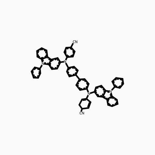 N#Cc1ccc(N(c2ccc(-c3ccc(N(C4=CCC(C#N)C=C4)c4ccc5c(c4)c4ccccc4n5-c4ccccc4)cc3)cc2)c2ccc3c(c2)c2ccccc2n3-c2ccccc2)cc1